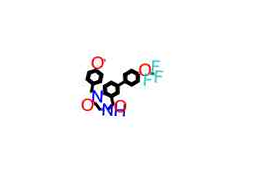 COc1ccc(CN2C(=O)CNC(=O)c3cc(-c4ccc(OC(F)(F)F)cc4)ccc32)cc1